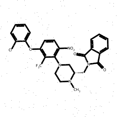 CN1CCN(c2c([N+](=O)[O-])ccc(Oc3ccccc3Cl)c2C(F)(F)F)C[C@@H]1CN1C(=O)c2ccccc2C1=O